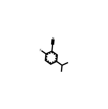 CC(C)c1ccc(F)c(C#N)c1